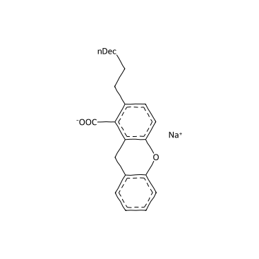 CCCCCCCCCCCCc1ccc2c(c1C(=O)[O-])Cc1ccccc1O2.[Na+]